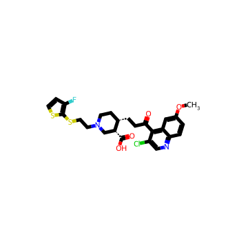 COc1ccc2ncc(Cl)c(C(=O)CC[C@H]3CCN(CCSc4sccc4F)C[C@H]3C(=O)O)c2c1